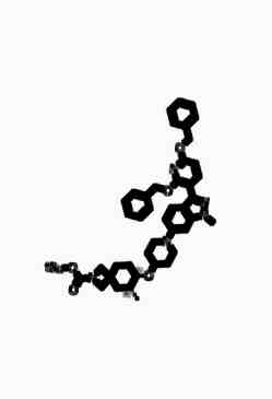 C[C@@H]1CC2(CC[C@@H]1OC1CCN(c3ccc4c(-c5ccc(OCc6ccccc6)nc5OCc5ccccc5)nn(C)c4c3)CC1)CN(C(=O)OC(C)(C)C)C2